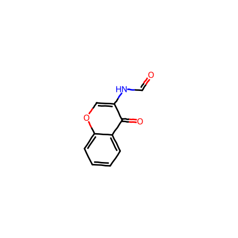 O=CNc1coc2ccccc2c1=O